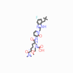 COCCN(C[C@H](CC/C=C/C(=O)N(C)C)C(=O)Nc1cccn(Cc2nc3cc(F)cc(CC(C)(C)C)c3[nH]2)c1=O)C(=O)O